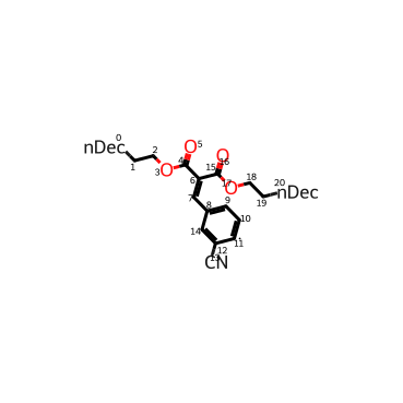 CCCCCCCCCCCCOC(=O)C(=Cc1cc[c]c(C#N)c1)C(=O)OCCCCCCCCCCCC